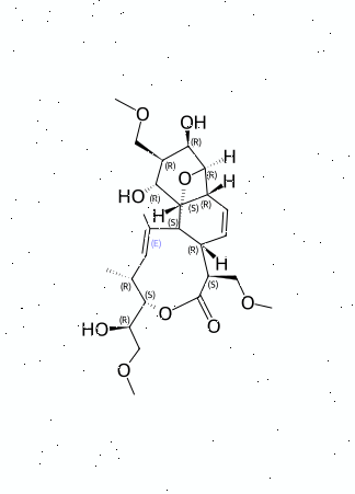 COC[C@H]1[C@@H](O)[C@@H]2O[C@@]34/C(C)=C/[C@@H](C)[C@@H]([C@H](O)COC)OC(=O)[C@H](COC)[C@H]3C=C[C@@H]2[C@H]4[C@@H]1O